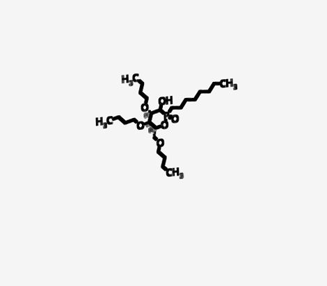 CCCCCCCCP1(=O)O[C@H](COCCCC)[C@@H](OCCCC)[C@H](OCCCC)C1O